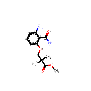 COC(=O)C(C)(C)COc1cccc(N)c1C(N)=O